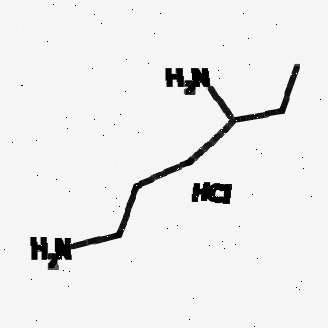 CCC(N)CCCN.Cl